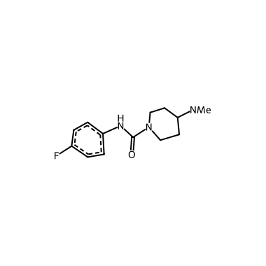 CNC1CCN(C(=O)Nc2ccc(F)cc2)CC1